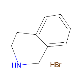 Br.c1ccc2c(c1)CCNC2